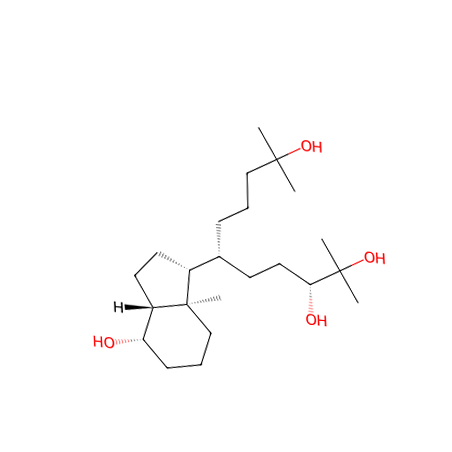 CC(C)(O)CCC[C@H](CC[C@@H](O)C(C)(C)O)[C@H]1CC[C@H]2[C@@H](O)CCC[C@]12C